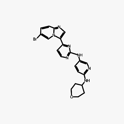 Brc1ccc2ncc(-c3ccnc(Nc4ccc(NC5CCOCC5)nc4)n3)n2c1